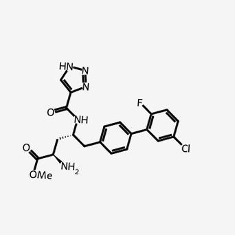 COC(=O)[C@H](N)C[C@@H](Cc1ccc(-c2cc(Cl)ccc2F)cc1)NC(=O)c1c[nH]nn1